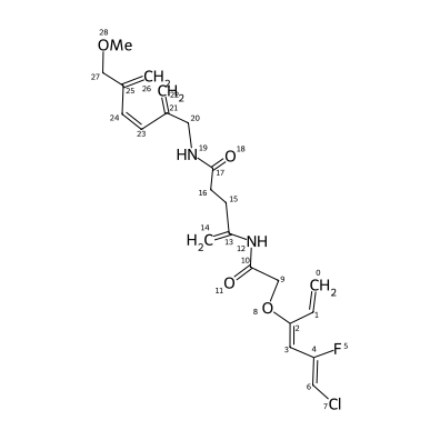 C=C/C(=C\C(F)=C\Cl)OCC(=O)NC(=C)CCC(=O)NCC(=C)/C=C\C(=C)COC